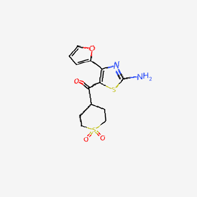 Nc1nc(-c2ccco2)c(C(=O)C2CCS(=O)(=O)CC2)s1